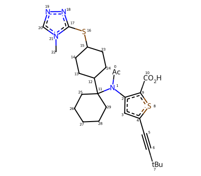 CC(=O)N(c1cc(C#CC(C)(C)C)sc1C(=O)O)C1(C2CCC(Sc3nncn3C)CC2)CCCCC1